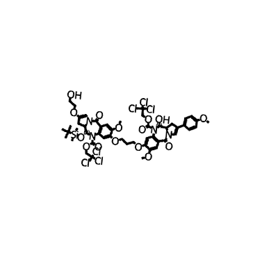 COc1ccc(C2=CN3C(=O)c4cc(OC)c(OCCCOc5cc6c(cc5OC)C(=O)N5C=C(OCCO)CC5[C@@H](O[Si](C)(C)C(C)(C)C)N6C(=O)OCC(Cl)(Cl)Cl)cc4N(C(=O)OCC(Cl)(Cl)Cl)[C@H](O)C3C2)cc1